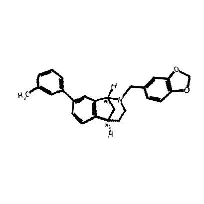 Cc1cccc(-c2ccc3c(c2)[C@H]2C[C@H]3CCN2Cc2ccc3c(c2)OCO3)c1